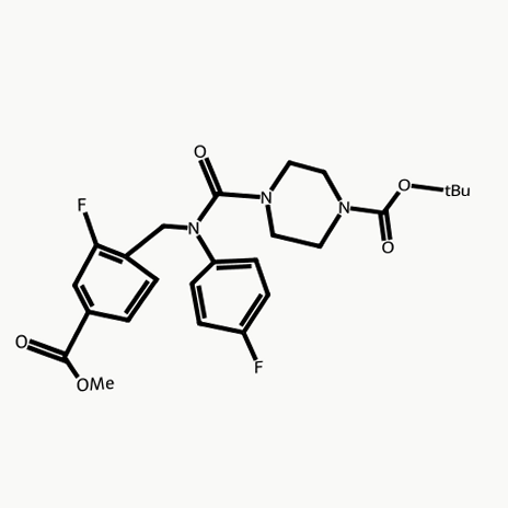 COC(=O)c1ccc(CN(C(=O)N2CCN(C(=O)OC(C)(C)C)CC2)c2ccc(F)cc2)c(F)c1